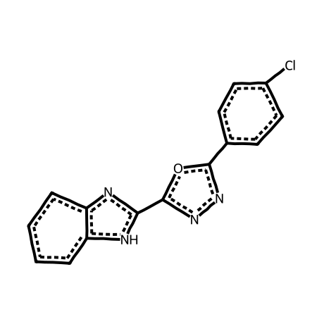 Clc1ccc(-c2nnc(-c3nc4ccccc4[nH]3)o2)cc1